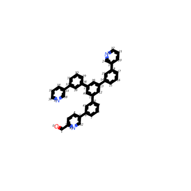 O=Cc1ccc(-c2cccc(-c3cc(-c4cccc(-c5cccnc5)c4)cc(-c4cccc(-c5cccnc5)c4)c3)c2)cn1